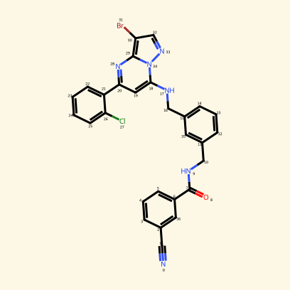 N#Cc1cccc(C(=O)NCc2cccc(CNc3cc(-c4ccccc4Cl)nc4c(Br)cnn34)c2)c1